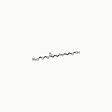 COCOCO[SiH2]CCCSSCCCOCO